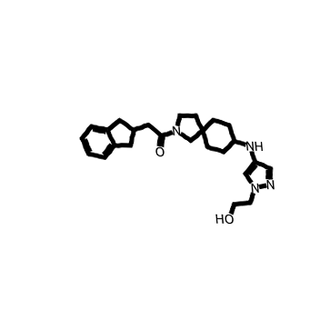 O=C(CC1Cc2ccccc2C1)N1CCC2(CCC(Nc3cnn(CCO)c3)CC2)C1